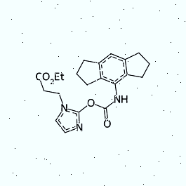 CCOC(=O)CCn1ccnc1OC(=O)Nc1c2c(cc3c1CCC3)CCC2